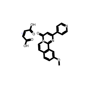 COc1ccc2ccn3c(=O)cc(-c4ccncc4)nc3c2c1.O=C(O)/C=C\C(=O)O